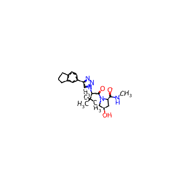 CNC(=O)[C@H]1CC(O)CN1C(=O)C(n1cc(-c2ccc3c(c2)CCC3)nn1)C(C)(C)C